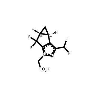 O=C(O)Cn1nc(C(F)F)c2c1C(F)(F)[C@@H]1C[C@@H]21